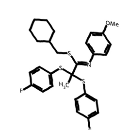 COc1ccc(N=C(SCC2CCCCC2)C(C)(Sc2ccc(F)cc2)Sc2ccc(F)cc2)cc1